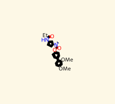 CCC(=O)N[C@H]1CC[C@@H](N(C)C(=O)Oc2ccc(-c3ccc(OC)cc3OC)cc2)C1